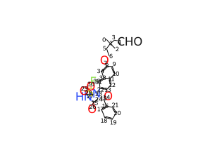 CC(C)(CC=O)CCOc1ccc2cc(OCc3ccccc3)c(N3CC(=O)NS3(=O)=O)c(F)c2c1